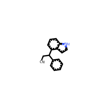 N#CCC(c1ccccc1)c1cccc2[nH]ccc12